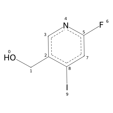 OCc1cnc(F)cc1I